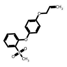 C=CCOc1ccc(Oc2ccccc2S(C)(=O)=O)cc1